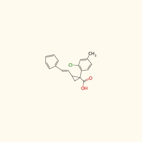 Cc1ccc(C2(C(=O)O)CC2C=Cc2ccccc2)c(Cl)c1